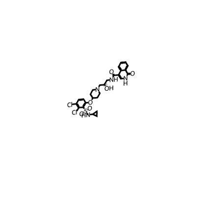 O=C(NC[C@@H](O)CN1CCC(Oc2ccc(Cl)c(Cl)c2S(=O)(=O)NC2CC2)CC1)c1c[nH]c(=O)c2ccccc12